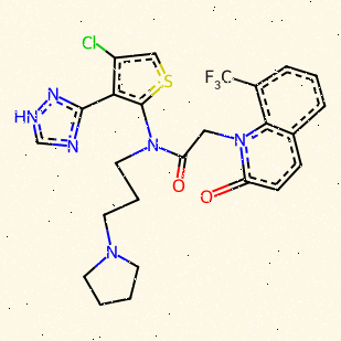 O=C(Cn1c(=O)ccc2cccc(C(F)(F)F)c21)N(CCCN1CCCC1)c1scc(Cl)c1-c1nc[nH]n1